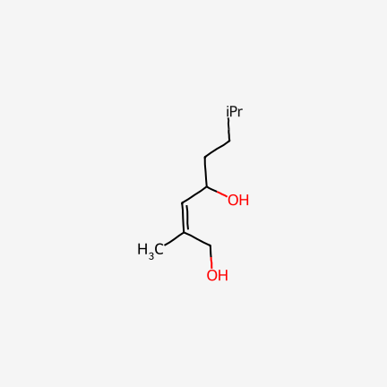 CC(=CC(O)CCC(C)C)CO